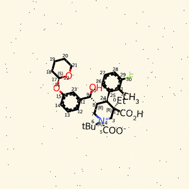 CC[C@]1(C(=O)O)C[N@@+](C(=O)[O-])(C(C)(C)C)C[C@H](C(O)c2cccc(O[C@H]3CCCCO3)c2)[C@H]1c1cccc(F)c1C